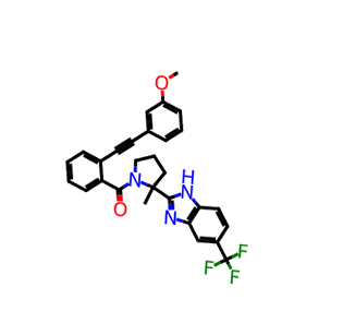 COc1cccc(C#Cc2ccccc2C(=O)N2CCCC2(C)c2nc3cc(C(F)(F)F)ccc3[nH]2)c1